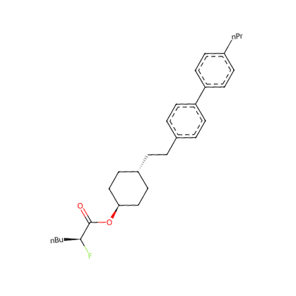 CCCC[C@H](F)C(=O)O[C@H]1CC[C@H](CCc2ccc(-c3ccc(CCC)cc3)cc2)CC1